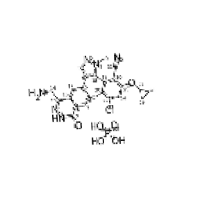 Cn1ncc(-c2ccc3c(=O)[nH]nc(CN)c3c2)c1-c1c(F)c(Cl)cc(OC2CC2)c1C#N.O=P(O)(O)O